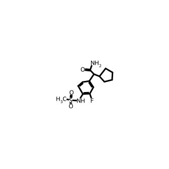 CS(=O)(=O)Nc1ccc(C(C(N)=O)C2CCCC2)cc1F